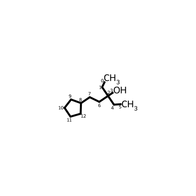 CCC(O)(CC)CCC1CCCC1